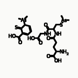 C[As](C)C1C=CC=C(C(=O)O)C1=S.C[As](C)SCC(NC(=O)CCC(N)C(=O)O)C(=O)NCC(=O)O